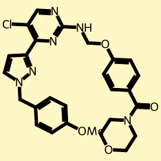 COc1ccc(Cn2ccc(-c3nc(NCOc4ccc(C(=O)N5CCOCC5)cc4)ncc3Cl)n2)cc1